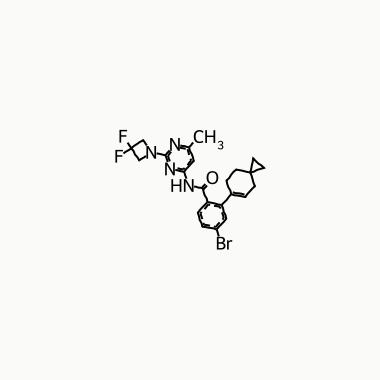 Cc1cc(NC(=O)c2ccc(Br)cc2C2=CCC3(CC2)CC3)nc(N2CC(F)(F)C2)n1